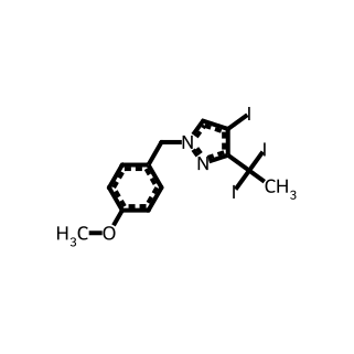 COc1ccc(Cn2cc(I)c(C(C)(I)I)n2)cc1